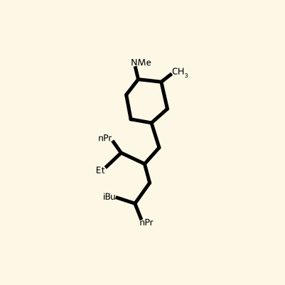 CCCC(CC(CC1CCC(NC)C(C)C1)C(CC)CCC)C(C)CC